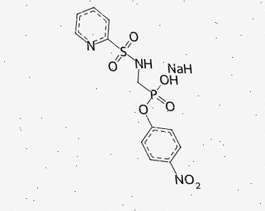 O=[N+]([O-])c1ccc(OP(=O)(O)CNS(=O)(=O)c2ccccn2)cc1.[NaH]